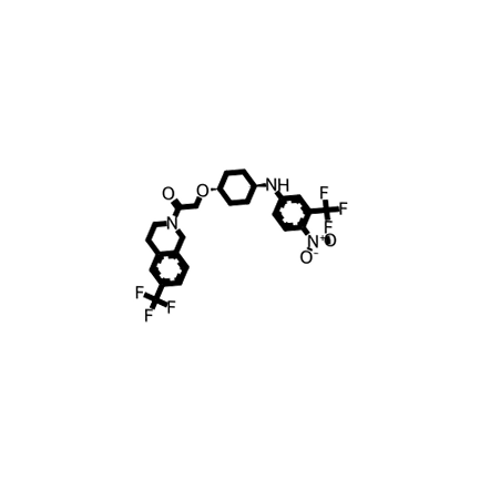 O=C(CO[C@H]1CC[C@H](Nc2ccc([N+](=O)[O-])c(C(F)(F)F)c2)CC1)N1CCc2cc(C(F)(F)F)ccc2C1